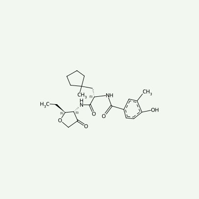 CC[C@@H]1OCC(=O)[C@H]1NC(=O)[C@H](CC1(C)CCCC1)NC(=O)c1ccc(O)c(C)c1